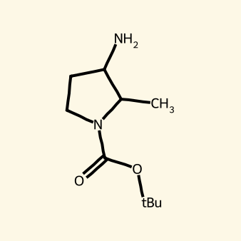 CC1C(N)CCN1C(=O)OC(C)(C)C